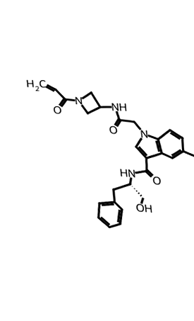 C=CC(=O)N1CC(NC(=O)Cn2cc(C(=O)N[C@H](CO)Cc3ccccc3)c3cc(Br)ccc32)C1